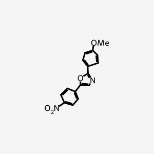 COc1ccc(-c2ncc(-c3ccc([N+](=O)[O-])cc3)o2)cc1